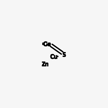 [Cu].[S]=[Ge].[Zn]